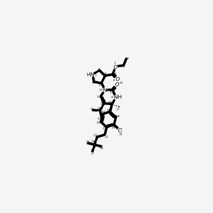 CCOC(=O)C1CNCC1N1C=C(C(C)C)[C@](C)(c2ccc(CCC(C)(C)C)c(Cl)c2)NC1=O